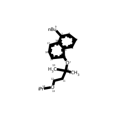 CCCCc1cccc2c(OC(C)(C)CCOC(C)C)cccc12